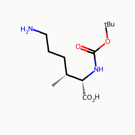 C[C@H](CCCN)[C@H](NC(=O)OC(C)(C)C)C(=O)O